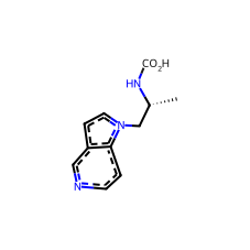 C[C@H](Cn1ccc2cnccc21)NC(=O)O